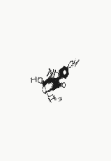 CC(=O)C(c1ccc(O)cc1)[C@@H](N)C(=O)O